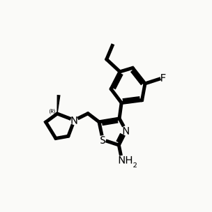 CCc1cc(F)cc(-c2nc(N)sc2CN2CCC[C@H]2C)c1